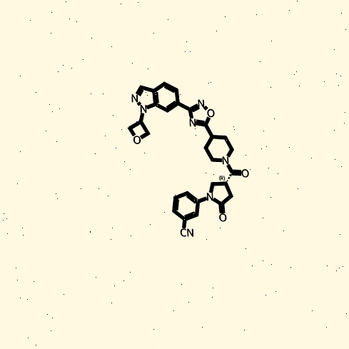 N#Cc1cccc(N2C[C@H](C(=O)N3CCC(c4nc(-c5ccc6cnn(C7COC7)c6c5)no4)CC3)CC2=O)c1